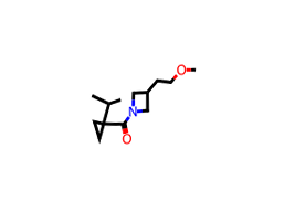 COCCC1CN(C(=O)C2(C(C)C)CC2)C1